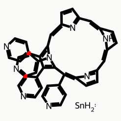 C1=Cc2cc3c(-c4ccncc4)c(-c4ccncc4)c(c(-c4ccncc4)c4nc(cc5ccc(cc1n2)[nH]5)C=C4)n3-c1ccncc1.[SnH2]